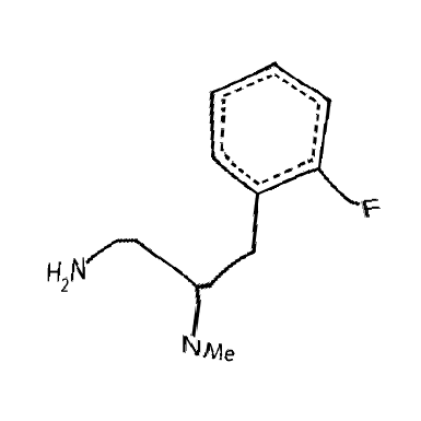 CNC(CN)Cc1ccccc1F